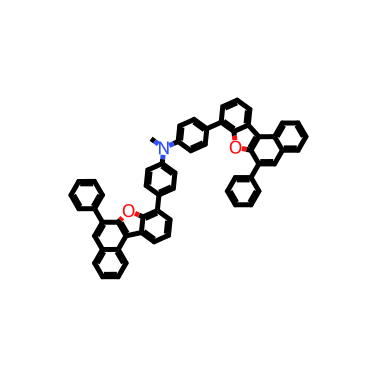 CN(c1ccc(-c2cccc3c2oc2c(-c4ccccc4)cc4ccccc4c23)cc1)c1ccc(-c2cccc3c2oc2c(-c4ccccc4)cc4ccccc4c23)cc1